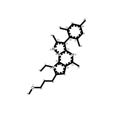 CCn1c(CCCOC)cc2c(C)nc3c(-c4c(C)cc(C)cc4C)c(C)nn3c21